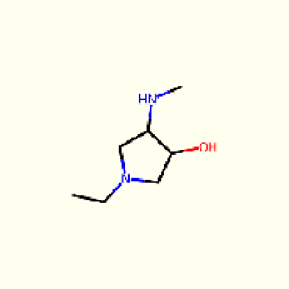 CCN1CC(O)C(NC)C1